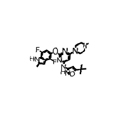 Cc1cc2c(F)c(Oc3nc(Nc4cc(C(C)(C)C)on4)cc(N4CCN(C)CC4)n3)cc(F)c2[nH]1